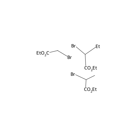 CCOC(=O)C(Br)CC.CCOC(=O)C(C)Br.CCOC(=O)CBr